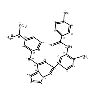 Cc1ccc(-c2cn3ccnc3c(Nc3cccc(C(C)C(=O)O)c3)n2)cc1NC(=O)c1ccc(C(C)(C)C)cc1